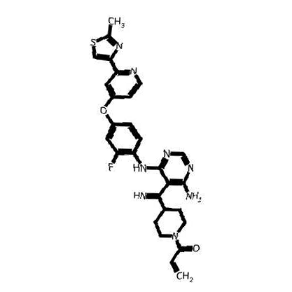 C=CC(=O)N1CCC(C(=N)c2c(N)ncnc2Nc2ccc(Oc3ccnc(-c4csc(C)n4)c3)cc2F)CC1